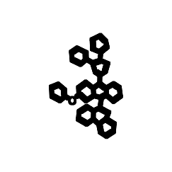 C1=CC2C(C3=c4ccccc4=C(c4ccc(-c5ccccc5)c(-c5ccccc5)c4)C4C=CC(Oc5ccccc5)=CC34)=Cc3ccccc3C2C=C1